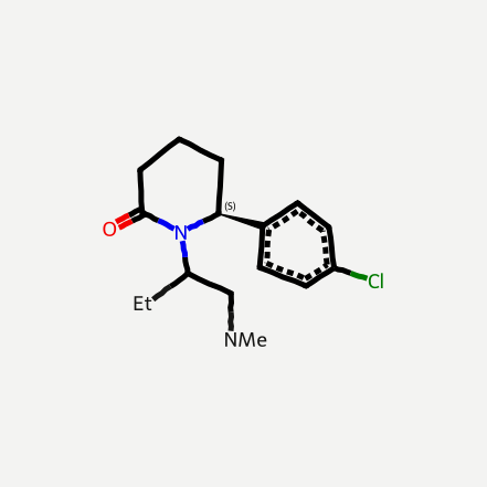 CCC(CNC)N1C(=O)CCC[C@H]1c1ccc(Cl)cc1